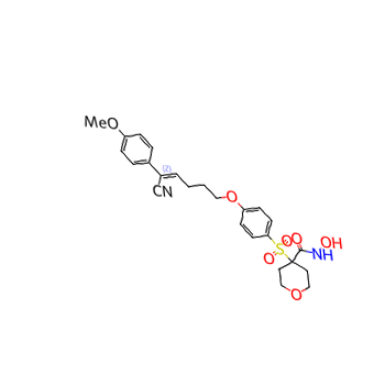 COc1ccc(/C(C#N)=C/CCCOc2ccc(S(=O)(=O)C3(C(=O)NO)CCOCC3)cc2)cc1